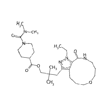 CCn1nc(CC(C)(C)COC(=O)C2CCN(C(=O)N(C)C)CC2)c2c1C(=O)NCCCOCCC2